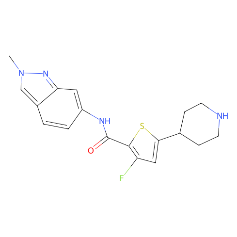 Cn1cc2ccc(NC(=O)c3sc(C4CCNCC4)cc3F)cc2n1